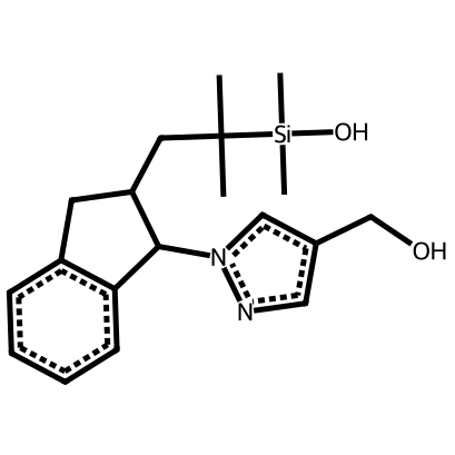 CC(C)(CC1Cc2ccccc2C1n1cc(CO)cn1)[Si](C)(C)O